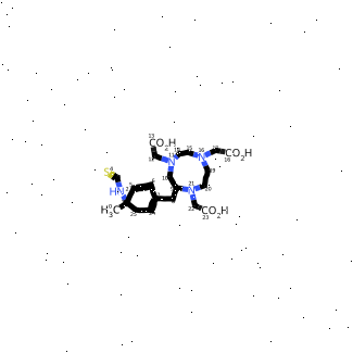 CC1(NC=S)C=CC(CC2CN(CC(=O)O)CCN(CC(=O)O)CCN2CC(=O)O)=CC1